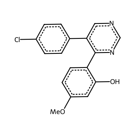 COc1ccc(-c2ncncc2-c2ccc(Cl)cc2)c(O)c1